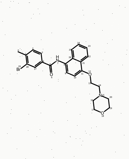 Cc1ccc(C(=O)Nc2ccc(OCCN3CCOCC3)c3ccccc23)cc1Br